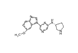 COc1ccc2ncn(-c3cncc(N[C@@H]4CCNC4)n3)c2c1